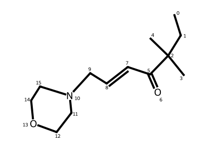 CCC(C)(C)C(=O)/C=C/CN1CCOCC1